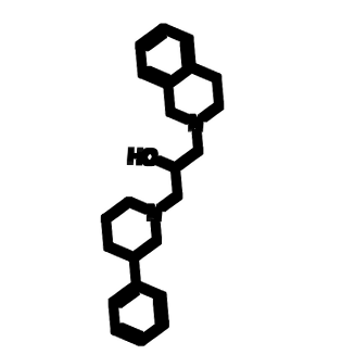 OC(CN1CCc2ccccc2C1)CN1CCCC(c2ccccc2)C1